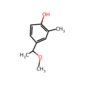 COC(C)c1ccc(O)c(C)c1